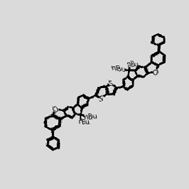 CCCCC1(CCCC)c2cc(-c3cc4sc(-c5ccc6c(c5)C(CCCC)(CCCC)c5cc7c(cc5-6)oc5ccc(-c6ccccc6)cc57)cc4s3)ccc2-c2cc3c(cc21)C1C=C(c2ccccc2)C=CC1O3